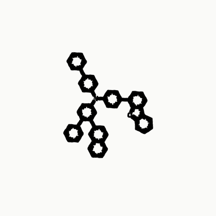 c1ccc(-c2ccc(N(c3ccc(-c4cccc5c4oc4ccccc45)cc3)c3ccc(-c4ccccc4)c(-c4ccc5ccccc5c4)c3)cc2)cc1